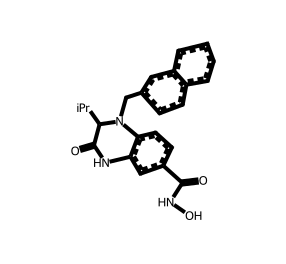 CC(C)C1C(=O)Nc2cc(C(=O)NO)ccc2N1Cc1ccc2ccccc2c1